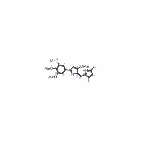 COC1=CC(c2cc(OC)c(OC)c(OC)c2)=N/C1=C/c1[nH]c(C)cc1C